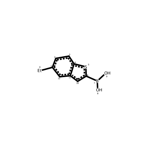 CCc1ccc2sc(B(O)O)cc2c1